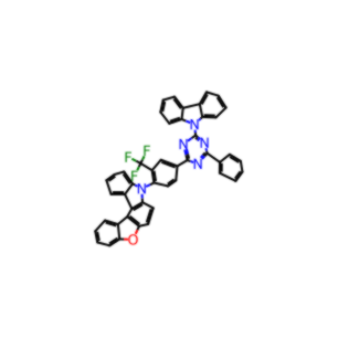 FC(F)(F)c1cc(-c2nc(-c3ccccc3)nc(-n3c4ccccc4c4ccccc43)n2)ccc1-n1c2ccccc2c2c3c(ccc21)oc1ccccc13